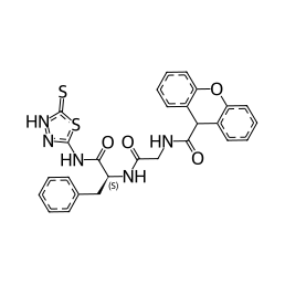 O=C(CNC(=O)C1c2ccccc2Oc2ccccc21)N[C@@H](Cc1ccccc1)C(=O)Nc1n[nH]c(=S)s1